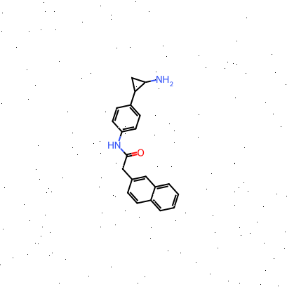 NC1CC1c1ccc(NC(=O)Cc2ccc3ccccc3c2)cc1